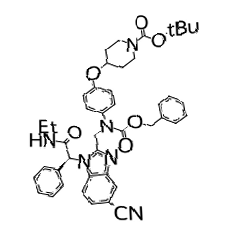 CCNC(=O)[C@H](c1ccccc1)n1c(CN(C(=O)OCc2ccccc2)c2ccc(OC3CCN(C(=O)OC(C)(C)C)CC3)cc2)nc2cc(C#N)ccc21